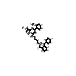 Bc1cnn2c(NCCCCNC(=O)c3ccccc3Cc3ccccc3)cc(-c3ccccc3O)nc12